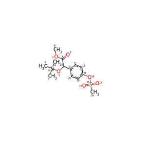 COC(=O)C(O[Si](C)(C)C)c1ccc(OS(C)(=O)=O)cc1